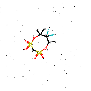 CC1OS(=O)(=O)CS(=O)(=O)OC(C)(C)C1(F)F